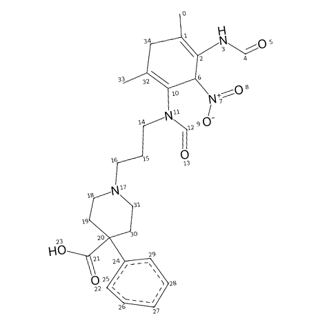 CC1=C(NC=O)C([N+](=O)[O-])C(N(C=O)CCCN2CCC(C(=O)O)(c3ccccc3)CC2)=C(C)C1